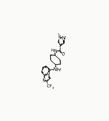 Cn1cc(C(=O)NC2CCC(Nc3cccc4nc(C(F)(F)F)cn34)CC2)cn1